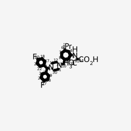 CC(Nc1cc(C(C)C)ccc(CN2CCN(C(c3ccc(F)cc3)c3ccc(F)cc3)CC2)c1=O)C(=O)O